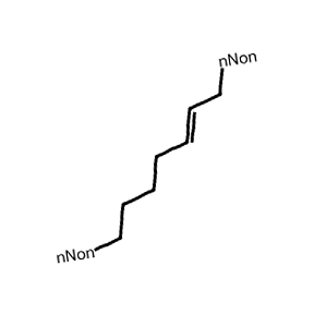 CCCCCCCCCCC=CCCCCCCCCCCCCC